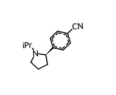 CC(C)N1CCC[C@@H]1c1ccc(C#N)cc1